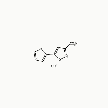 Cl.O=C(O)c1cc(-c2ccco2)on1